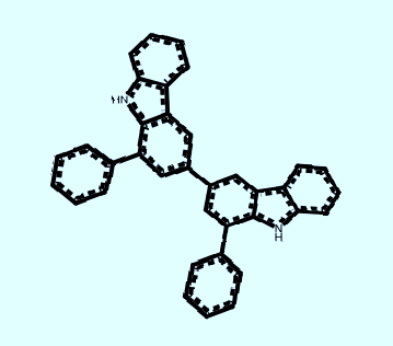 c1ccc(-c2cc(-c3cc(-c4ccccc4)c4[nH]c5ccccc5c4c3)cc3c2[nH]c2ccccc23)cc1